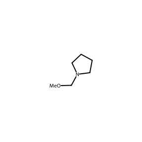 COCN1CCCC1